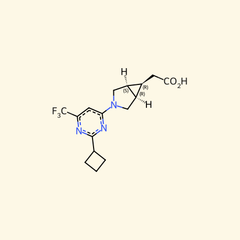 O=C(O)C[C@H]1[C@H]2CN(c3cc(C(F)(F)F)nc(C4CCC4)n3)C[C@@H]12